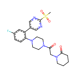 CS(=O)(=O)c1ncc(-c2cc(F)ccc2N2CCN(C(=O)CN3CCCCC3=O)CC2)cn1